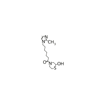 Cc1n[c]cn1CCCCCCC(=O)N1CCSC(O)C1